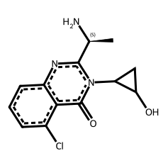 C[C@H](N)c1nc2cccc(Cl)c2c(=O)n1C1CC1O